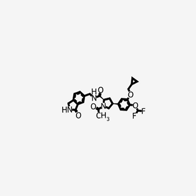 CC(=O)N1C[C@H](c2ccc(OC(F)F)c(OCC3CC3)c2)C[C@@H]1C(=O)NCc1ccc2c(c1)C(=O)NC2